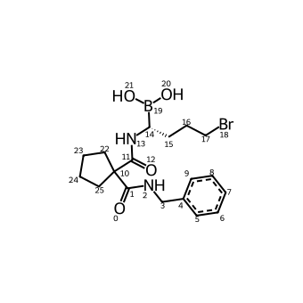 O=C(NCc1ccccc1)C1(C(=O)N[C@@H](CCCBr)B(O)O)CCCC1